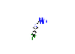 N=C(N)CCCN1CC=C(c2ccc(C(F)(F)F)cc2)CC1